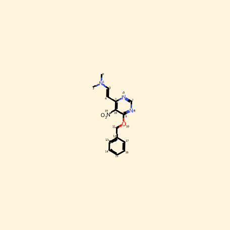 CN(C)C=Cc1ncnc(OCc2ccccc2)c1[N+](=O)[O-]